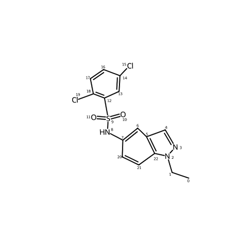 CCn1ncc2cc(NS(=O)(=O)c3cc(Cl)ccc3Cl)ccc21